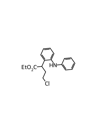 CCOC(=O)C(CCCl)c1ccccc1Nc1ccccc1